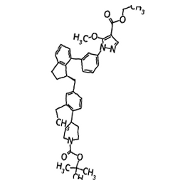 CCOC(=O)c1cnn(-c2cccc(-c3cccc4c3[C@@H](Cc3ccc(C5CCN(C(=O)OC(C)(C)C)CC5)c(CC)c3)CC4)c2)c1OC